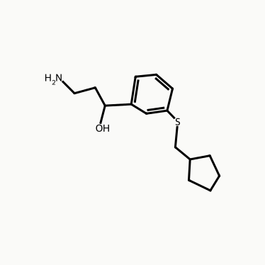 NCCC(O)c1cccc(SCC2CCCC2)c1